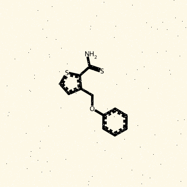 NC(=S)c1sccc1COc1ccccc1